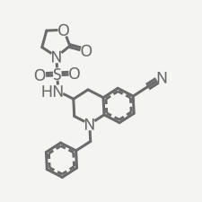 N#Cc1ccc2c(c1)CC(NS(=O)(=O)N1CCOC1=O)CN2Cc1ccccc1